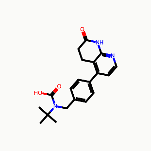 CC(C)(C)N(Cc1ccc(-c2ccnc3c2CCC(=O)N3)cc1)C(=O)O